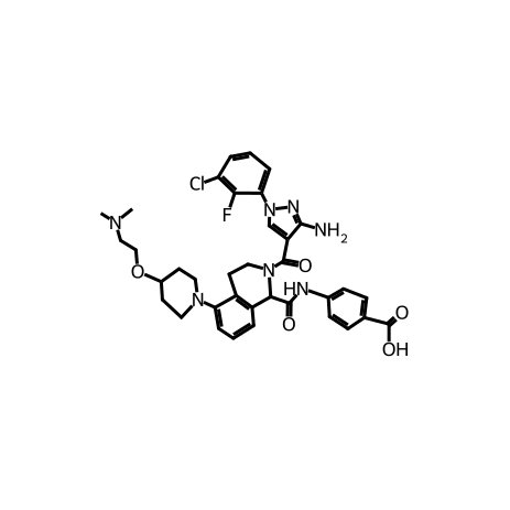 CN(C)CCOC1CCN(c2cccc3c2CCN(C(=O)c2cn(-c4cccc(Cl)c4F)nc2N)C3C(=O)Nc2ccc(C(=O)O)cc2)CC1